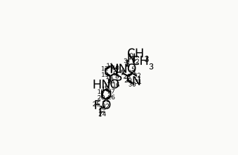 CN(C)CC(=O)NC(Sc1ncccc1C(=O)Nc1ccc(OC(F)F)cc1)c1ccncc1